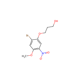 COc1cc(Br)c(OCCCO)cc1[N+](=O)[O-]